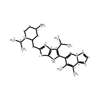 Cc1c(-c2[nH]c3sc(CC4CC(N)CCN4C(C)C)nc3c2C(C)C)cn2ncnc2c1C